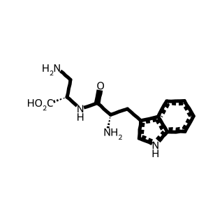 NC[C@H](NC(=O)[C@@H](N)Cc1c[nH]c2ccccc12)C(=O)O